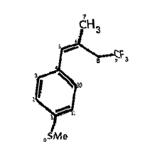 CSc1ccc(C=C(C)CC(F)(F)F)cc1